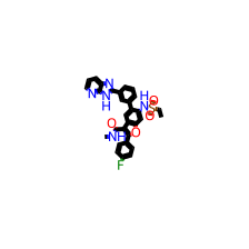 CCS(=O)(=O)Nc1cc2oc(-c3ccc(F)cc3)c(C(=O)NC)c2cc1-c1cccc(-c2nc3cccnc3[nH]2)c1